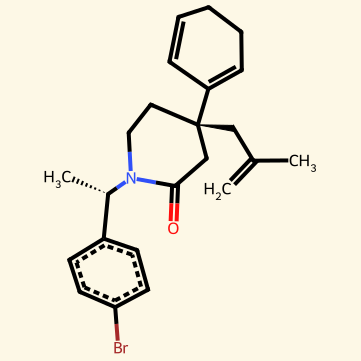 C=C(C)C[C@]1(C2=CCCC=C2)CCN([C@@H](C)c2ccc(Br)cc2)C(=O)C1